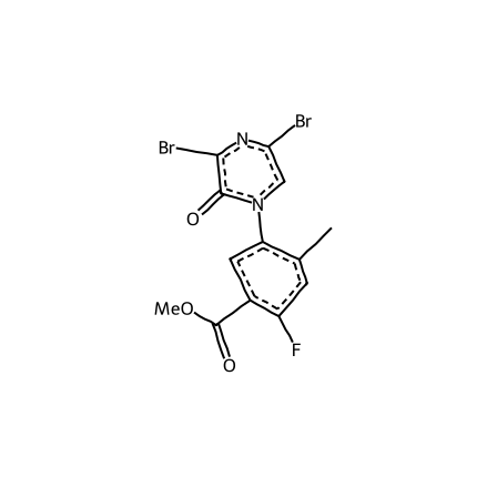 COC(=O)c1cc(-n2cc(Br)nc(Br)c2=O)c(C)cc1F